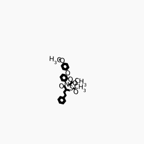 COC(=O)CN(C(=O)C(CCc1ccccc1)CSC(C)=O)c1cccc(Oc2ccc(OC)cc2)c1